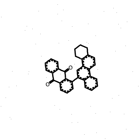 O=C1c2ccccc2C(=O)c2c1cccc2-c1cc2c3c(ccc2c2ccccc12)CCCC3